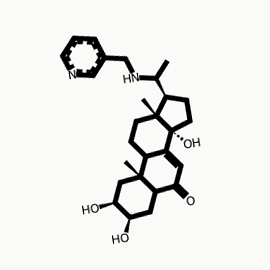 CC(NCc1cccnc1)[C@H]1CC[C@@]2(O)C3=CC(=O)C4C[C@@H](O)[C@@H](O)C[C@]4(C)C3CC[C@]12C